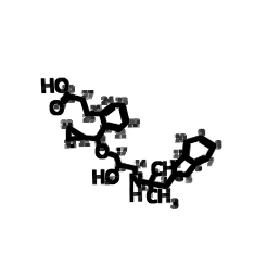 CC(C)(CC1Cc2ccccc2C1)NC[C@@H](O)CO[C@H](c1ccccc1CCC(=O)O)C1CC1